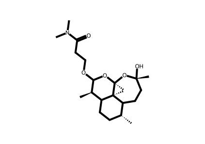 C[C@H]1C(OCCC(=O)N(C)C)O[C@]23C[C@]24C1CC[C@@H](C)C4CC[C@@](C)(O)O3